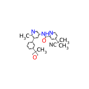 Cc1ncc(NC(=O)c2cc(C(C)(C)C#N)ccn2)cc1-c1cccc(C2(C)COC2)c1